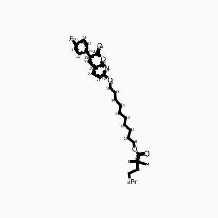 CC(C)CCC(C)(C)C(=O)OCCCCCCCCCCOc1ccc2cc(-c3ccc(F)cc3)c(=O)oc2n1